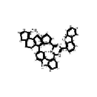 CC1=C2C(=CCc3c2cccc3-c2ccc3oc4cccc(-c5nc(-c6ccccc6)nc(-c6cccc7c6OC6C=CC=CC76)n5)c4c3c2)CC=C1